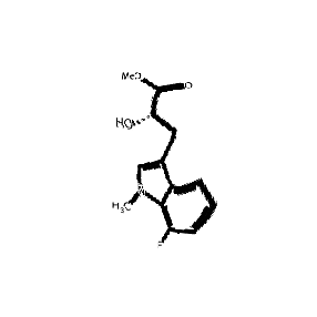 COC(=O)[C@@H](O)Cc1cn(C)c2c(F)cccc12